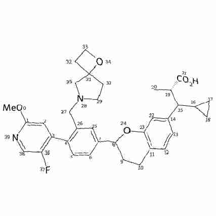 COc1cc(-c2ccc(C3CCc4ccc(C(C5CC5)[C@H](C)C(=O)O)cc4O3)cc2CN2CCC3(CCO3)C2)c(F)cn1